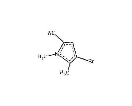 Cc1c(Br)cc(C#N)n1C